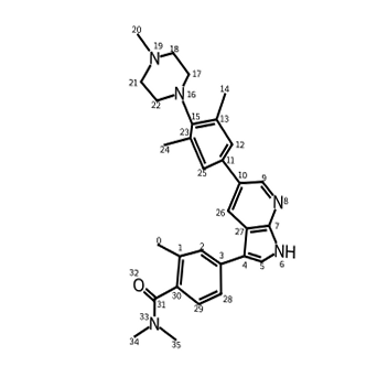 Cc1cc(-c2c[nH]c3ncc(-c4cc(C)c(N5CCN(C)CC5)c(C)c4)cc23)ccc1C(=O)N(C)C